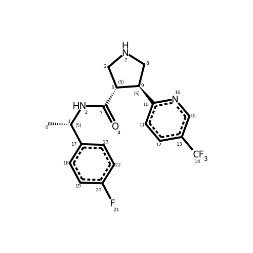 C[C@H](NC(=O)[C@@H]1CNC[C@H]1c1ccc(C(F)(F)F)cn1)c1ccc(F)cc1